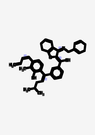 C=C/C=C\c1ccc(/C(=C\CC(C)C)c2cccc(/C(S)=C3\OC4=C(C=CCC4)\C3=N\CC3=CCCC=C3)c2)c(S)c1C